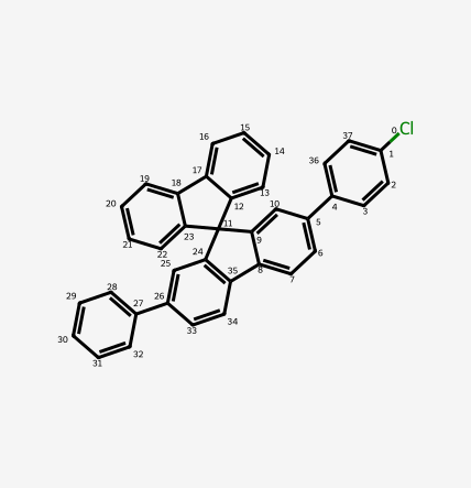 Clc1ccc(-c2ccc3c(c2)C2(c4ccccc4-c4ccccc42)c2cc(-c4ccccc4)ccc2-3)cc1